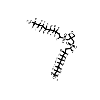 O=S(=O)(CC1(CS(=O)(=O)C(F)CC(F)(F)C(F)(F)C(F)(F)C(F)(F)C(F)(F)C(F)(F)C(F)(F)C(F)(F)F)COC1)C(F)CC(F)(F)C(F)(F)C(F)(F)C(F)(F)C(F)(F)C(F)(F)C(F)(F)C(F)(F)F